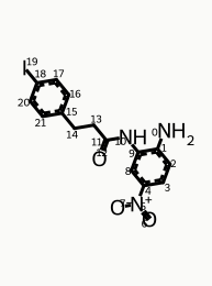 Nc1ccc([N+](=O)[O-])cc1NC(=O)CCc1ccc(I)cc1